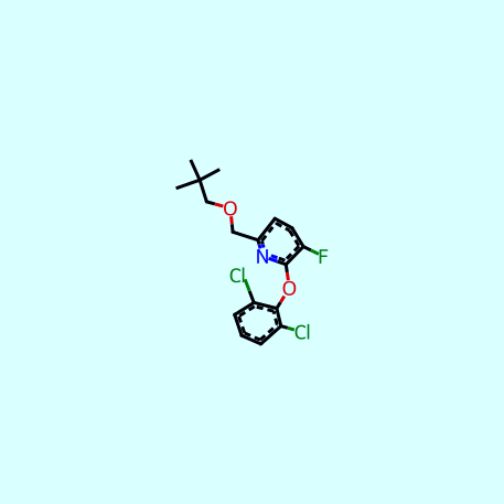 CC(C)(C)COCc1ccc(F)c(Oc2c(Cl)cccc2Cl)n1